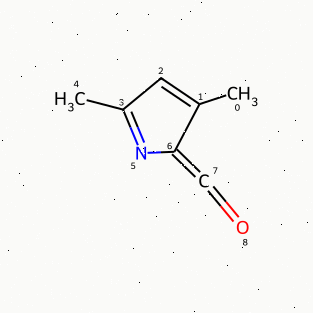 CC1=CC(C)=NC1=C=O